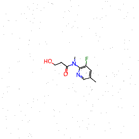 Cc1cnc(N(C)C(=O)CCO)c(F)c1